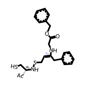 CC(=O)[C@H](CS)NSC/C=C(\Cc1ccccc1)NCC(=O)OCc1ccccc1